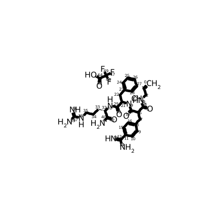 C=CCNC(=O)C(Cc1ccc(C(=N)N)cc1)C(=O)N(C)C(Cc1ccccc1)C(=O)N[C@@H](CCCNC(=N)N)C(N)=O.O=C(O)C(F)(F)F